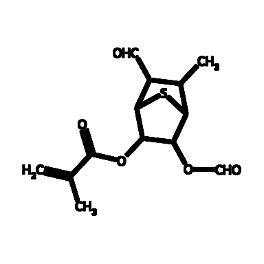 C=C(C)C(=O)OC1C(OC=O)C2SC1C(C=O)C2C